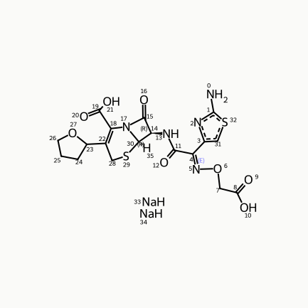 Nc1nc(/C(=N\OCC(=O)O)C(=O)N[C@@H]2C(=O)N3C(C(=O)O)=C(C4CCCO4)CS[C@H]23)cs1.[NaH].[NaH]